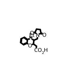 CCN1c2ccccc2OC(CC(=O)O)C1CN1C(=O)CCC1=O